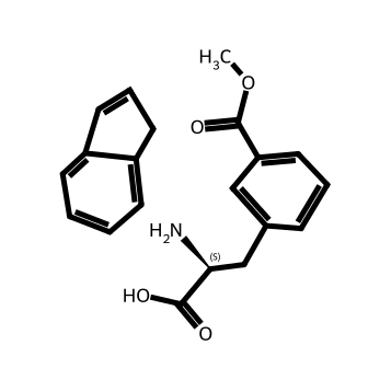 C1=Cc2ccccc2C1.COC(=O)c1cccc(C[C@H](N)C(=O)O)c1